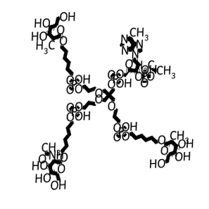 CC(=O)NC1[C@H](OCCCCCCOP(=O)(O)OCCCOCC(COCCCOP(=O)(O)OCCCCCCO[C@@H]2OC(CO)[C@H](O)[C@H](O)C2C)(COCCCOP(=O)(O)OCCCCCCO[C@@H]2OC(CO)[C@H](O)[C@H](O)C2C)COP(=O)(O)OC[C@H]2O[C@@H](n3cnc4c(C)ncnc43)C[C@@H]2OP(=O)(O)OC(C)C)OC(CO)[C@H](O)[C@@H]1O